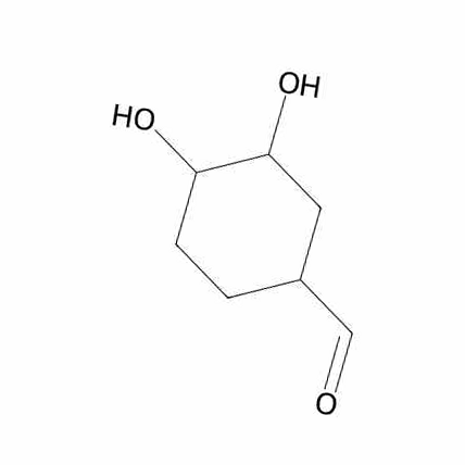 O=CC1CCC(O)C(O)C1